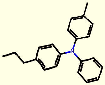 CCCc1ccc(N(c2ccccc2)c2ccc(C)cc2)cc1